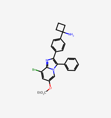 CCOC(=O)Oc1cc(Br)c2nc(-c3ccc(C4(N)CCC4)cc3)c(-c3ccccc3)n2c1